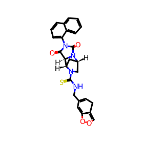 O=C1[C@@H]2[C@@H]3C[C@@H](CN3C(=S)NCC3=CCC4=COOC4=C3)N2C(=O)N1c1cccc2ccccc12